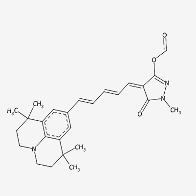 CN1N=C(OC=O)/C(=C/C=C/C=C/c2cc3c4c(c2)C(C)(C)CCN4CCC3(C)C)C1=O